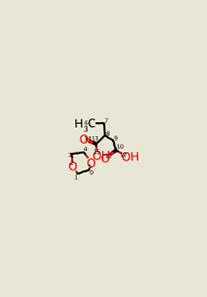 C1COCCO1.CCC(CC(=O)O)C(=O)O